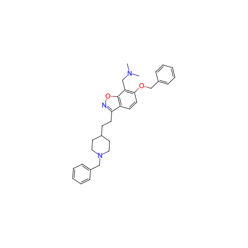 CN(C)Cc1c(OCc2ccccc2)ccc2c(CCC3CCN(Cc4ccccc4)CC3)noc12